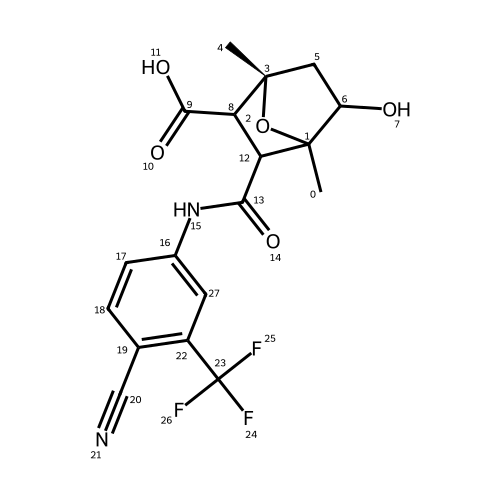 CC12O[C@@](C)(CC1O)C(C(=O)O)C2C(=O)Nc1ccc(C#N)c(C(F)(F)F)c1